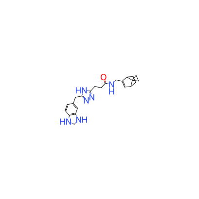 O=C(CCc1nnc(Cc2ccc3c(c2)NCN3)[nH]1)NCC1=CC2CCC1C21CC1